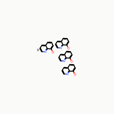 [O-]c1cccc2cccnc12.[O-]c1cccc2cccnc12.[O-]c1cccc2cccnc12.[O-]c1cccc2cccnc12.[Zr+4]